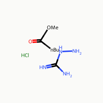 CCCCC(=O)OC.Cl.N=C(N)NN